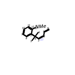 C=C/C=C\C(C)(C)c1ccccc1NC